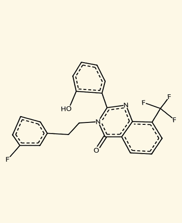 O=c1c2cccc(C(F)(F)F)c2nc(-c2ccccc2O)n1CCc1cccc(F)c1